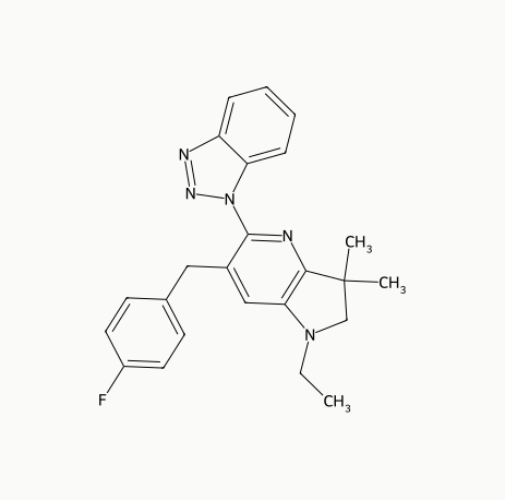 CCN1CC(C)(C)c2nc(-n3nnc4ccccc43)c(Cc3ccc(F)cc3)cc21